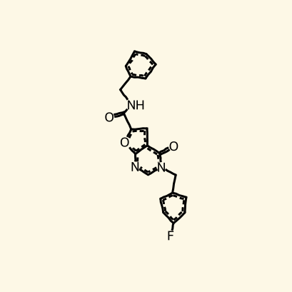 O=C(NCc1ccccc1)c1cc2c(=O)n(Cc3ccc(F)cc3)cnc2o1